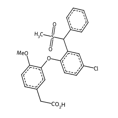 COc1ccc(CC(=O)O)cc1Oc1ccc(Cl)cc1C(c1ccccc1)S(C)(=O)=O